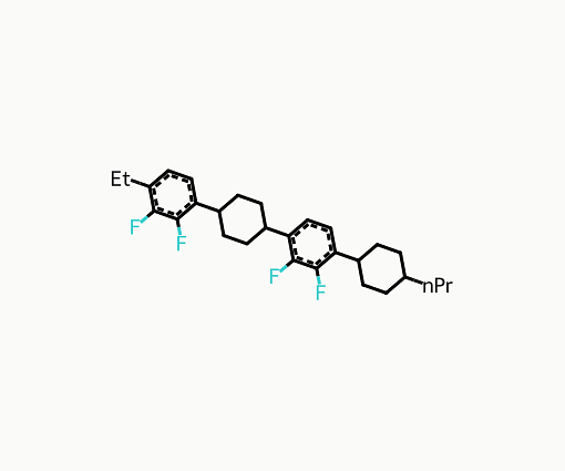 CCCC1CCC(c2ccc(C3CCC(c4ccc(CC)c(F)c4F)CC3)c(F)c2F)CC1